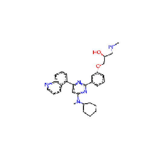 CNCC(O)COc1cccc(-c2nc(-c3cccc4ncccc34)cc(N(C)C3CCCCC3)n2)c1